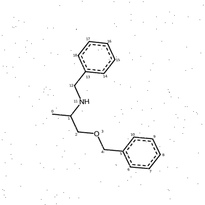 CC(COCc1ccccc1)NCc1ccccc1